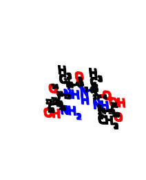 C[C@H](NC(=O)[C@H](C)NC(=O)[C@H](C)NC(=O)[C@@H](N)CO)C(=O)O